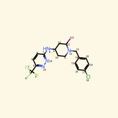 FC(F)(F)c1ccc(NC2CCN(Cc3ccc(Cl)cc3)C(I)C2)nn1